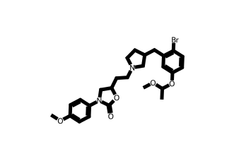 COc1ccc(N2CC(CCN3CCC(Cc4cc(OC(C)OC)ccc4Br)C3)OC2=O)cc1